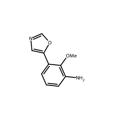 COc1c(N)cccc1-c1cnco1